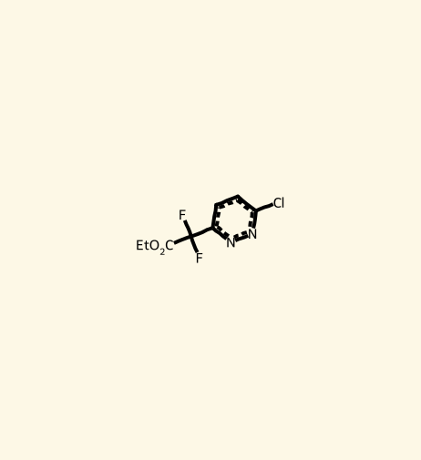 CCOC(=O)C(F)(F)c1ccc(Cl)nn1